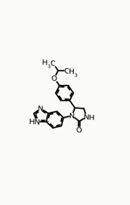 CC(C)Oc1ccc(C2CNC(=O)N2c2ccc3[nH]cnc3c2)cc1